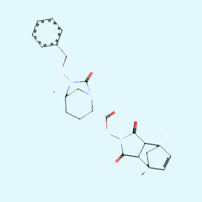 O=C(ON1C(=O)C2C(C1=O)[C@H]1C=C[C@H]2C1)[C@@H]1CC[C@@H]2CN1C(=O)N2OCc1ccccc1